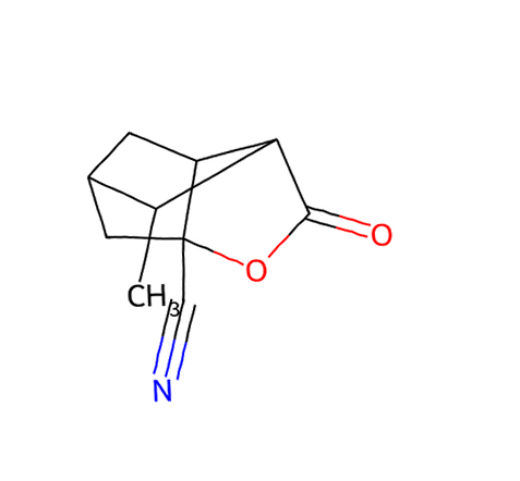 CC1C2CC3C1C(=O)OC3(C#N)C2